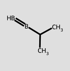 B=BC(C)C